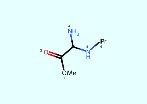 COC(=O)C(N)NC(C)C